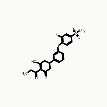 CCC(=O)C1=C(O)CC(c2cccc(Oc3ccc(S(C)(=O)=O)cc3F)c2)CC1=O